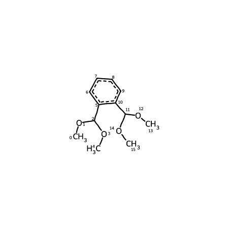 COC(OC)c1ccccc1C(OC)OC